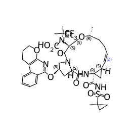 CC[C@@H]1O[C@H](C)CC/C=C\[C@@H]2C[C@@]2(C(=O)NS(=O)(=O)C2(C)CC2)NC(=O)[C@@H]2C[C@@H](Oc3nc4c(c5ccccc35)CCCO4)CN2C(=O)[C@H]1N(C(=O)O)C(C)(C)C(F)(F)F